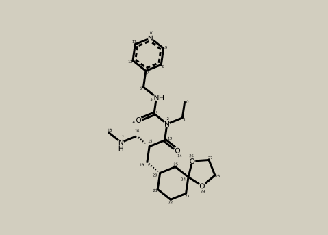 CCN(C(=O)NCc1ccncc1)C(=O)[C@@H](CNC)C[C@H]1CCCC2(C1)OCCO2